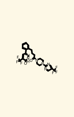 O=C(CCCc1ccccc1-c1cc(C(F)(F)F)c(=O)[nH]n1)N1CCN(c2ncc(C(F)(F)F)cn2)CC1